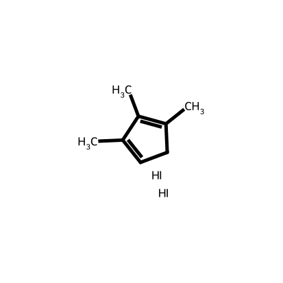 CC1=CCC(C)=C1C.I.I